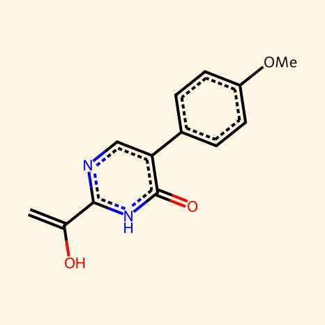 C=C(O)c1ncc(-c2ccc(OC)cc2)c(=O)[nH]1